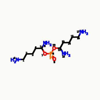 NCCCCC(N)O[PH](=O)OC(N)CCCCN